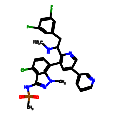 Cn1nc(NS(C)(=O)=O)c2c(Cl)ccc(-c3cc(-c4cccnc4)cnc3C(Cc3cc(F)cc(F)c3)NC(=O)O)c21